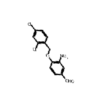 O=Cc1ccc(OCc2ccc(Cl)cc2Cl)c([N+](=O)[O-])c1